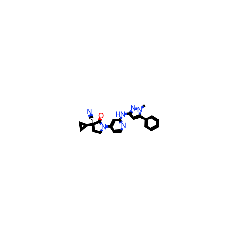 Cn1nc(Nc2cc(N3CC[C@@](C#N)(C4CC4)C3=O)ccn2)cc1-c1ccccc1